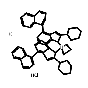 C1=C(C2CCCCC2)[CH]([Hf]2([CH]3C(C4CCCCC4)=Cc4c(-c5cccc6ccccc56)cccc43)[CH2]C[CH2]2)c2cccc(-c3cccc4ccccc34)c21.Cl.Cl